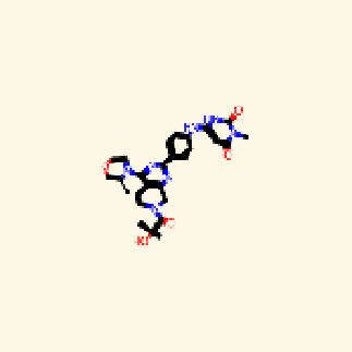 C[C@H]1COCCN1c1nc(-c2ccc(Nc3cc(=O)n(C)c(=O)[nH]3)cc2)nc2c1CCN(C(=O)C(C)(C)O)C2